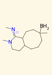 BC1(C)CCCC2CCN(C)/C(=N\C)C2CC1